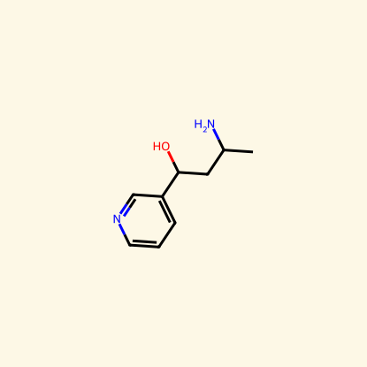 CC(N)CC(O)c1cccnc1